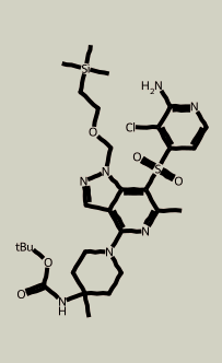 Cc1nc(N2CCC(C)(NC(=O)OC(C)(C)C)CC2)c2cnn(COCC[Si](C)(C)C)c2c1S(=O)(=O)c1ccnc(N)c1Cl